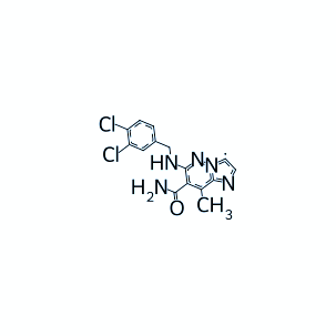 Cc1c(C(N)=O)c(NCc2ccc(Cl)c(Cl)c2)nn2[c]cnc12